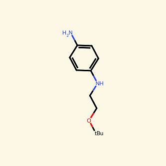 CC(C)(C)OCCNc1ccc(N)cc1